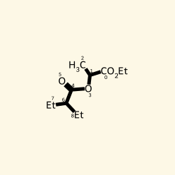 CCOC(=O)C(C)OC(=O)C(CC)CC